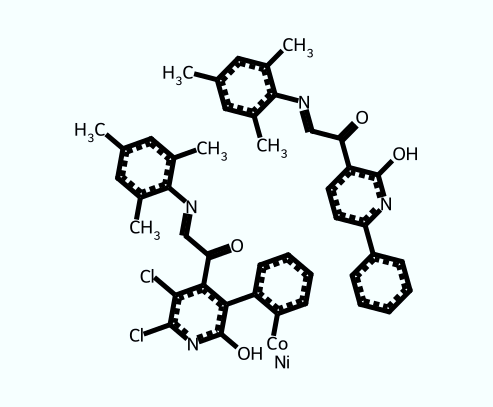 Cc1cc(C)c(N=CC(=O)c2c(Cl)c(Cl)nc(O)c2-c2cccc[c]2[Co])c(C)c1.Cc1cc(C)c(N=CC(=O)c2ccc(-c3ccccc3)nc2O)c(C)c1.[Ni]